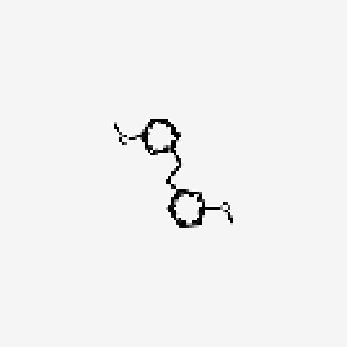 COc1cccc(CCc2cccc(OC)c2)c1